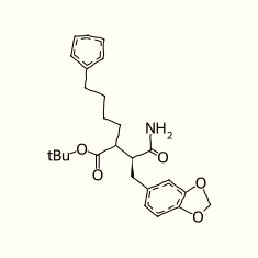 CC(C)(C)OC(=O)C(CCCCc1ccccc1)[C@H](Cc1ccc2c(c1)OCO2)C(N)=O